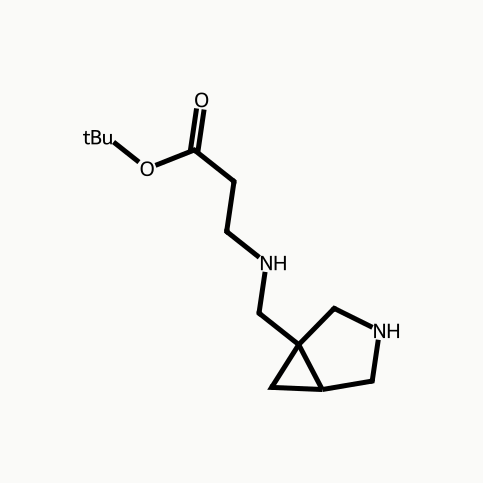 CC(C)(C)OC(=O)CCNCC12CNCC1C2